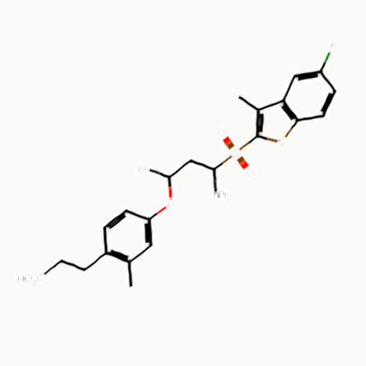 CCCC(CC(CC)Oc1ccc(CCC(=O)O)c(C)c1)S(=O)(=O)c1sc2ccc(F)cc2c1C